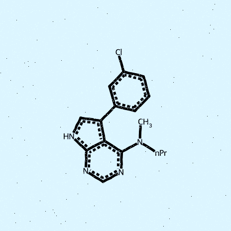 CCCN(C)c1ncnc2[nH]cc(-c3cccc(Cl)c3)c12